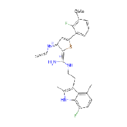 C=C/N=C1/C=C(c2cccc(OC)c2F)S/C1=C(/N)NCCc1c(C)[nH]c2c(F)ccc(C)c12